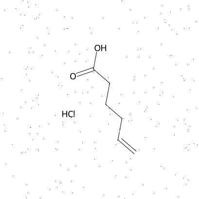 C=CCCCC(=O)O.Cl